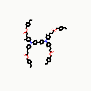 C=Cc1ccc(COC(=O)CCc2ccc(N(c3ccc(-c4ccc(N(c5ccc(CCC(=O)OCc6ccc(C=C)cc6)cc5)c5ccc(CCC(=O)OCc6ccc(C=C)cc6)c(C)c5)cc4)cc3)c3ccc(CCC(=O)OCc4ccc(C=C)cc4)c(C)c3)cc2)cc1